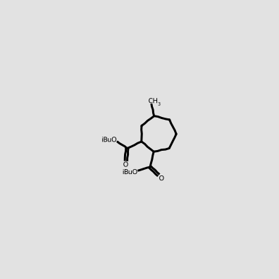 CC(C)COC(=O)C1CCCC(C)CC1C(=O)OCC(C)C